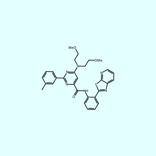 COCCN(CCOC)c1cc(C(=O)Nc2ccccc2-c2nc3cccnc3s2)nc(-c2cccc(C)c2)n1